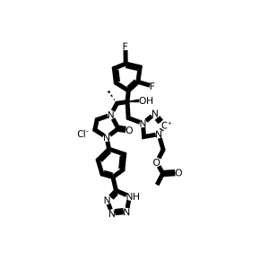 CC(=O)OCN1[C+]=NN(C[C@@](O)(c2ccc(F)cc2F)[C@@H](C)N2CCN(c3ccc(-c4nnn[nH]4)cc3)C2=O)C1.[Cl-]